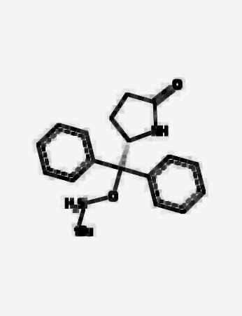 CC(C)(C)[SiH2]OC(c1ccccc1)(c1ccccc1)[C@@H]1CCC(=O)N1